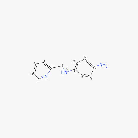 Nc1ccc(NCc2ccccn2)cc1